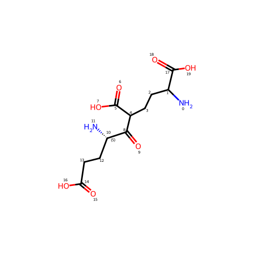 NC(CCC(C(=O)O)C(=O)[C@@H](N)CCC(=O)O)C(=O)O